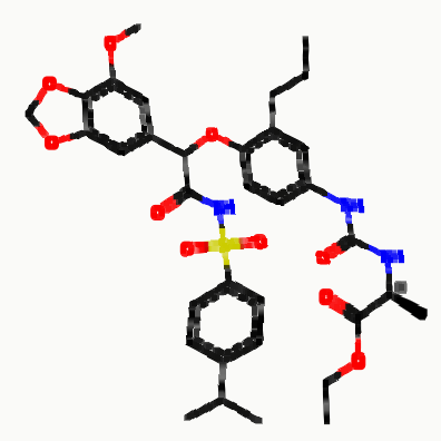 CCCc1cc(NC(=O)N[C@@H](C)C(=O)OCC)ccc1OC(C(=O)NS(=O)(=O)c1ccc(C(C)C)cc1)c1cc(OC)c2c(c1)OCO2